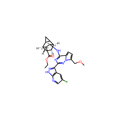 CCOC(=O)[C@H]1[C@H](Nc2nc(-c3n[nH]c4ncc(F)cc34)nn3c(COC)ccc23)[C@@H]2CC[C@H]1C1CC12